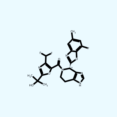 Cc1cc(F)c2oc([C@@H]3c4nc[nH]c4CCN3C(=O)c3oc(C(C)(C)O)nc3C(F)F)nc2c1